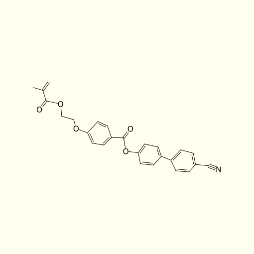 C=C(C)C(=O)OCCOc1ccc(C(=O)Oc2ccc(-c3ccc(C#N)cc3)cc2)cc1